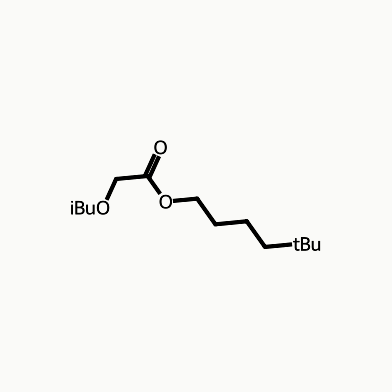 CC(C)COCC(=O)OCCCCC(C)(C)C